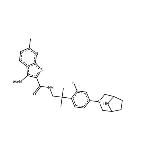 CNc1c(C(=O)NCC(C)(C)c2ccc(N3CC4CCC(C3)N4)cc2F)sc2nc(C)ccc12